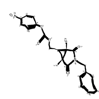 O=C(OC[C@@H]1[C@H]2C(=O)N(Cc3ccccc3)C(=O)[C@@H]12)Oc1ccc([N+](=O)[O-])cc1